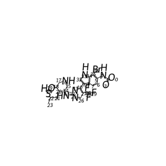 COC(=O)Nc1ccc2c(-c3nc(N[C@@H]4CNC[C@H](O)C4CC(C)=S)ncc3C(F)(F)F)c[nH]c2c1Br